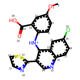 COc1ccc(Nc2c(-c3nccs3)cnc3ccc(Cl)cc23)c(C(=O)O)c1